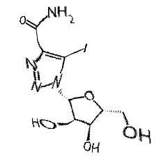 NC(=O)c1nnn([C@@H]2O[C@H](CO)[C@@H](O)[C@H]2O)c1I